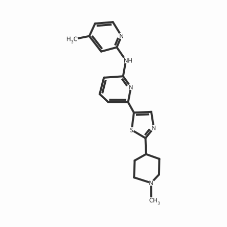 Cc1ccnc(Nc2cccc(-c3cnc(C4CCN(C)CC4)s3)n2)c1